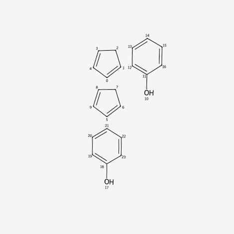 C1=CCC=C1.C1=CCC=C1.Oc1ccccc1.Oc1ccccc1